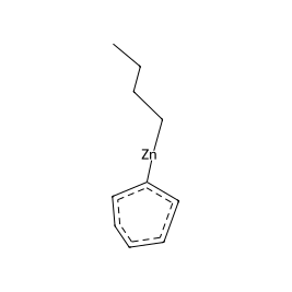 CCC[CH2][Zn][c]1ccccc1